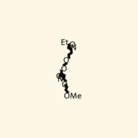 CCc1cc(CCCOCCOCc2cc(COCCCOC)no2)no1